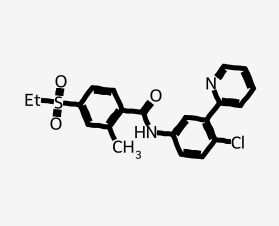 CCS(=O)(=O)c1ccc(C(=O)Nc2ccc(Cl)c(-c3ccccn3)c2)c(C)c1